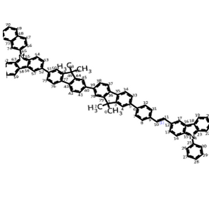 CC1(C)c2cc(-c3ccc(/C=C/c4ccc5c(c4)c4ccccc4n5-c4ccccc4)cc3)ccc2-c2ccc(-c3ccc4c(c3)C(C)(C)c3cc(-c5ccc6c(c5)c5ccccc5n6-c5ccc6ccccc6c5)ccc3-4)cc21